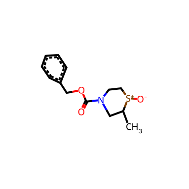 CC1CN(C(=O)OCc2ccccc2)CC[S+]1[O-]